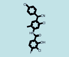 Cc1cc(C(C#N)c2ccc(Cl)cc2)c(Cl)cc1NC(=O)c1ccc(F)c(Cl)c1O